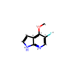 COc1c(F)cnc2[nH]ccc12